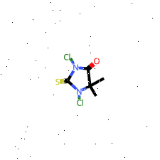 CC1(C)C(=O)N(Cl)C(=S)N1Cl